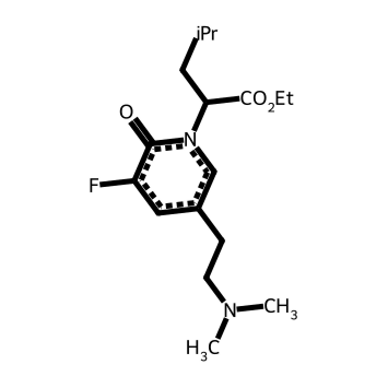 CCOC(=O)C(CC(C)C)n1cc(CCN(C)C)cc(F)c1=O